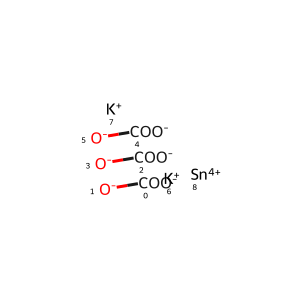 O=C([O-])[O-].O=C([O-])[O-].O=C([O-])[O-].[K+].[K+].[Sn+4]